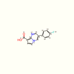 O=C(O)c1ccn2cc(-c3ccc(F)cc3)cnc12